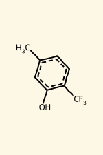 Cc1ccc(C(F)(F)F)c(O)c1